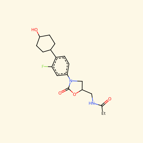 CCC(=O)NCC1CN(c2ccc(C3CCC(O)CC3)c(F)c2)C(=O)O1